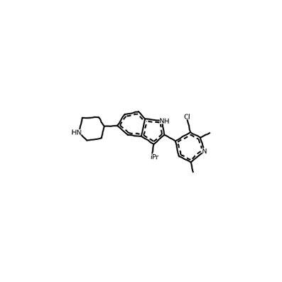 Cc1cc(-c2[nH]c3ccc(C4CCNCC4)cc3c2C(C)C)c(Cl)c(C)n1